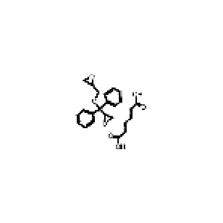 O=C(O)CCCCC(=O)O.c1ccc(C(OCC2CO2)(c2ccccc2)C2CO2)cc1